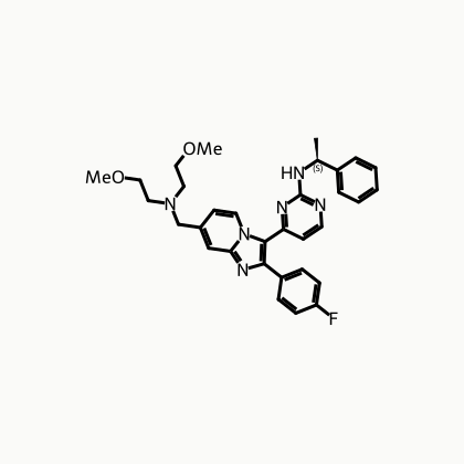 COCCN(CCOC)Cc1ccn2c(-c3ccnc(N[C@@H](C)c4ccccc4)n3)c(-c3ccc(F)cc3)nc2c1